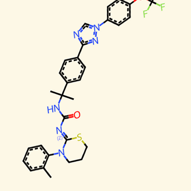 Cc1ccccc1N1CCCS/C1=N\C(=O)NC(C)(C)c1ccc(-c2ncn(-c3ccc(OC(F)(F)F)cc3)n2)cc1